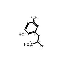 CCC(Cc1cccc(C(F)(F)F)c1)C(=O)O.Cl